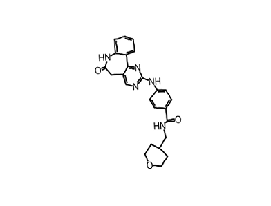 O=C1Cc2cnc(Nc3ccc(C(=O)NCC4CCOCC4)cc3)nc2-c2ccccc2N1